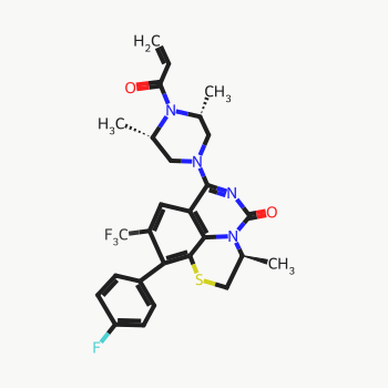 C=CC(=O)N1[C@H](C)CN(c2nc(=O)n3c4c(c(-c5ccc(F)cc5)c(C(F)(F)F)cc24)SC[C@@H]3C)C[C@@H]1C